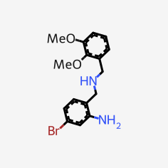 COc1cccc(CNCc2ccc(Br)cc2N)c1OC